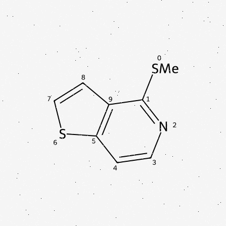 CSc1nccc2sccc12